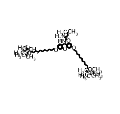 CC(C)C[C@H](N)C(=O)NC1c2ccc(OCCCCCCCCCCCO[Si](C(C)C)(C(C)C)C(C)C)cc2Oc2cc(OCCCCCCCCCCCO[Si](C(C)C)(C(C)C)C(C)C)ccc21